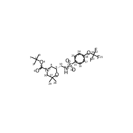 CC(C)(C)OC(=O)N1C[C@H](CNS(=O)(=O)c2ccc(OC(F)(F)F)cc2)OC(C)(C)C1